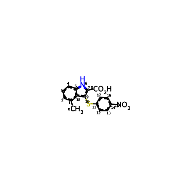 Cc1cccc2[nH]c(C(=O)O)c(Sc3ccc([N+](=O)[O-])cc3)c12